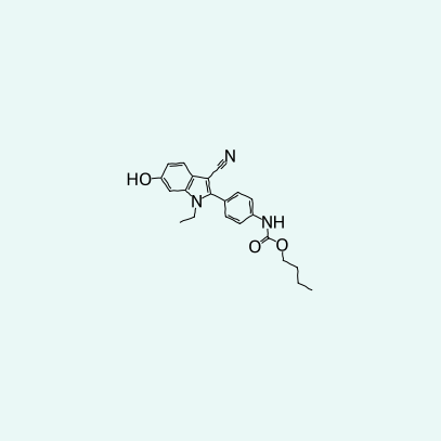 CCCCOC(=O)Nc1ccc(-c2c(C#N)c3ccc(O)cc3n2CC)cc1